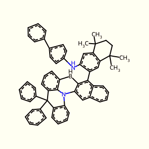 CC1(C)CCC(C)(C)c2cc(-c3c4c(cc5ccccc35)N3c5ccccc5C(c5ccccc5)(c5ccccc5)c5cccc(c53)B4)c(Nc3ccc(-c4ccccc4)cc3)cc21